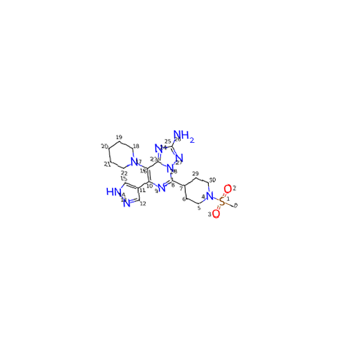 CS(=O)(=O)N1CCC(c2nc(-c3cn[nH]c3)c(N3CCCCC3)c3nc(N)nn23)CC1